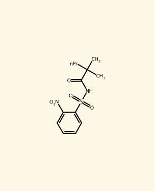 CCCC(C)(C)C(=O)NS(=O)(=O)c1ccccc1[N+](=O)[O-]